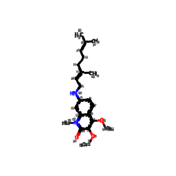 CCCCCCCCOc1c(OCCCC)c2ccc(NC/C=C(\C)CCC=C(C)C)cc2n(CCCC)c1=O